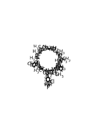 CC[C@H](C)[C@@H]1NC(=O)[C@H](C)N(C)C(=O)C[C@@H](C)NC(=O)[C@H](CC(C)C)N(C)C(=O)[C@H](Cc2ccccc2)N(C)C(=O)[C@H](CC(C)C)NC(=O)[C@H](CCc2ccc(C(F)(F)F)c(Cl)c2)NC(=O)CN(C)C(=O)[C@H](Cc2ccc(Cl)cc2)N(C)C(=O)CN(C)C(=O)CN(C)C1=O